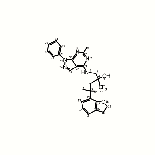 Cc1nc(NCC(O)(CC(C)(C)c2cccc3c2OCC3)C(F)(F)F)c2cnn(-c3ccccc3)c2n1